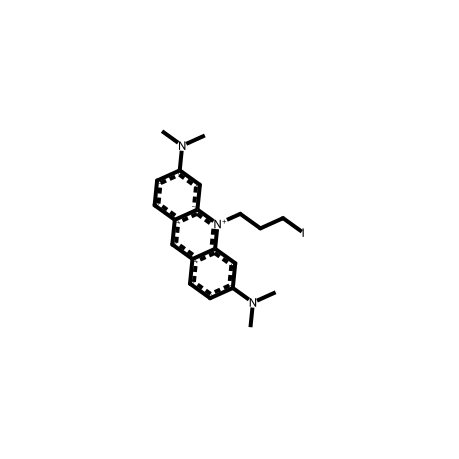 CN(C)c1ccc2cc3ccc(N(C)C)cc3[n+](CCCI)c2c1